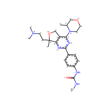 CCNC(=O)Nc1ccc(-c2nc(N3CCOCC3C)c3c(n2)C(C)(CCN(C)C)OC3)cc1